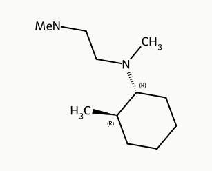 CNCCN(C)[C@@H]1CCCC[C@H]1C